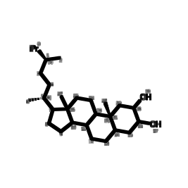 CC(C)[C@@H](C)CC[C@@H](C)C1CCC2C3CCC4CC(O)C(O)C[C@@]4(C)C3CCC21C